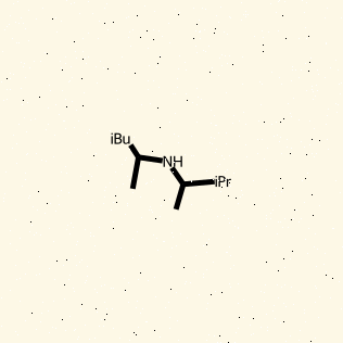 CCC(C)C(C)NC(C)C(C)C